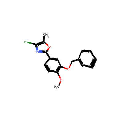 COc1ccc(-c2nc(Cl)c(C)o2)cc1OCc1ccccc1